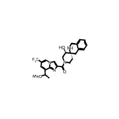 COC(C)c1cc(C(F)(F)F)cn2cc(C(=O)N3CC[C@]4(Cc5ccccc5CN4)[C@H](O)C3)nc12